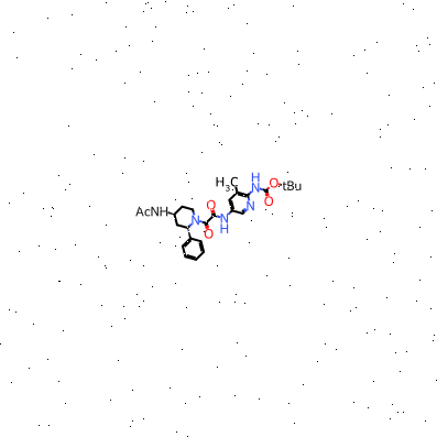 CC(=O)N[C@H]1CCN(C(=O)C(=O)Nc2cnc(NC(=O)OC(C)(C)C)c(C)c2)[C@@H](c2ccccc2)C1